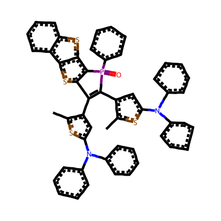 Cc1sc(N(c2ccccc2)c2ccccc2)cc1C1=C(c2cc(N(c3ccccc3)c3ccccc3)sc2C)P(=O)(c2ccccc2)c2c1sc1c2sc2ccccc21